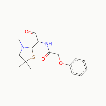 CN1CC(C)(C)SC1C(C=O)NC(=O)COc1ccccc1